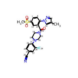 Cc1cnn(-c2ccc(S(C)(=O)=O)cc2C(=O)N2CCN(c3ccc(C#N)cc3F)CC2)c1